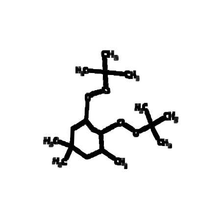 CC1CC(C)(C)CC(OOC(C)(C)C)C1OOC(C)(C)C